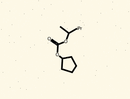 CC(C)C(C)OC(=O)OC1CCCC1